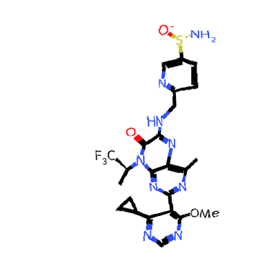 COc1ncnc(C2CC2)c1-c1nc(C)c2nc(NCc3ccc([S+](N)[O-])cn3)c(=O)n([C@@H](C)C(F)(F)F)c2n1